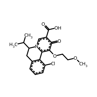 COCCOc1c2n(cc(C(=O)O)c1=O)C(C(C)C)Cc1cccc(Cl)c1-2